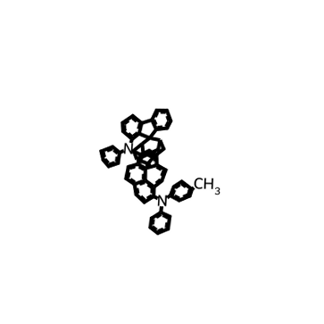 Cc1ccc(N(c2ccccc2)c2ccc3ccc4c(N(c5ccccc5)c5cccc6c5C5(c7ccccc7-6)C6CC7CC(C6)CC5C7)ccc5ccc2c3c54)cc1